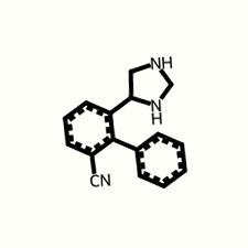 N#Cc1cccc(C2CNCN2)c1-c1ccccc1